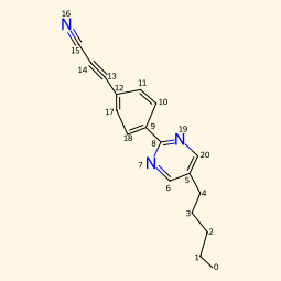 CCCCCc1cnc(-c2ccc(C#CC#N)cc2)nc1